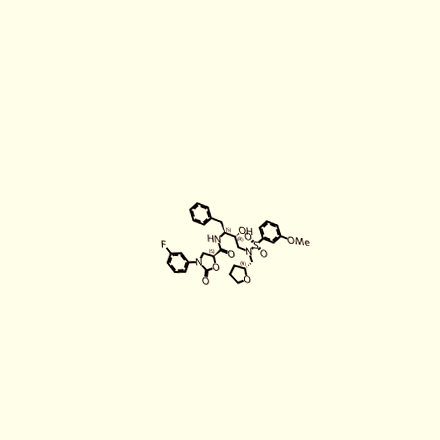 COc1cccc(S(=O)(=O)N(C[C@H]2CCCO2)C[C@@H](O)[C@H](Cc2ccccc2)NC(=O)[C@@H]2CN(c3cccc(F)c3)C(=O)O2)c1